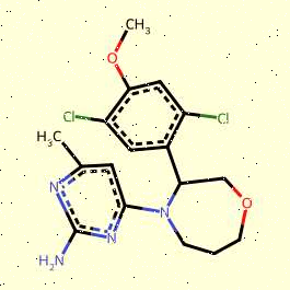 COc1cc(Cl)c(C2COCCCN2c2cc(C)nc(N)n2)cc1Cl